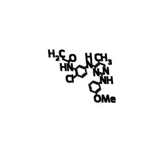 C=CC(=O)Nc1cc(Nc2nc(Nc3cccc(OC)c3)ncc2C)ccc1Cl